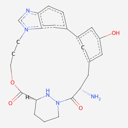 N[C@H]1Cc2cc(O)cc(c2)-c2ccc3ncn(c3c2)CCCOC(=O)[C@@H]2CCCN(N2)C1=O